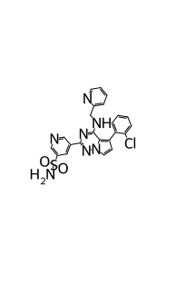 NS(=O)(=O)c1cncc(-c2nc(NCc3ccccn3)c3c(-c4ccccc4Cl)ccn3n2)c1